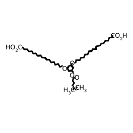 CN(C)CCCC(=O)OCc1cc(OCCCCCCCC=CCC=CCCCCCCCC(=O)O)cc(OCCCCCCCC=CCC=CCCCCCCCC(=O)O)c1